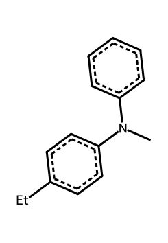 CCc1ccc(N(C)c2ccccc2)cc1